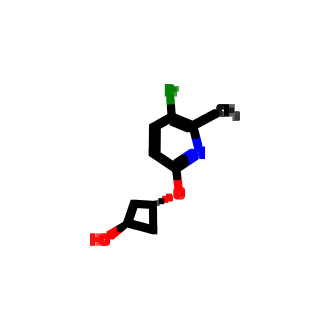 Cc1nc(O[C@H]2C[C@H](O)C2)ccc1Br